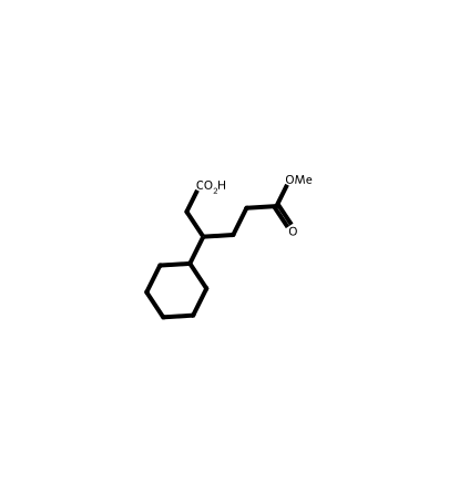 COC(=O)CCC(CC(=O)O)C1CCCCC1